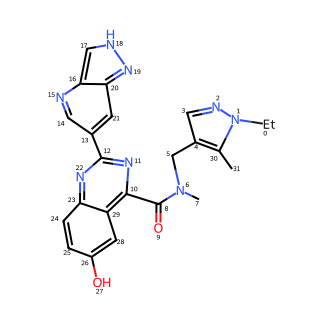 CCn1ncc(CN(C)C(=O)c2nc(-c3cnc4c[nH]nc4c3)nc3ccc(O)cc23)c1C